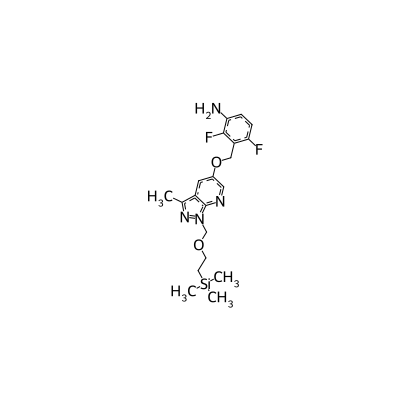 Cc1nn(COCC[Si](C)(C)C)c2ncc(OCc3c(F)ccc(N)c3F)cc12